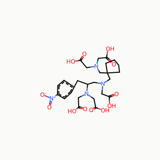 O=C(O)CN(CC(=O)O)CC1(CN(CC(=O)O)CC(Cc2ccc([N+](=O)[O-])cc2)N(CC(=O)O)CC(=O)O)CCCC1